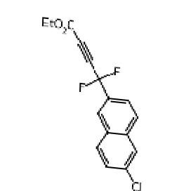 CCOC(=O)C#CC(F)(F)c1ccc2cc(Cl)ccc2c1